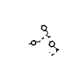 CC(C)(C)OC(=O)NC1CC1c1ccc(NC(=O)C(Cc2ccccc2)NC(=O)OCc2ccc(Br)cc2)cc1